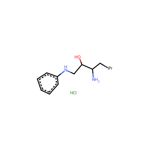 CC(C)CC(N)C(O)CNc1ccccc1.Cl